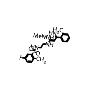 CNN/C(=C\C(=N)c1ccccc1C)NCCNS(=O)(=O)c1cc(F)ccc1C